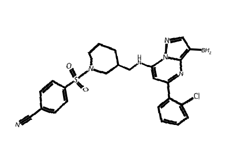 Bc1cnn2c(NCC3CCCN(S(=O)(=O)c4ccc(C#N)cc4)C3)cc(-c3ccccc3Cl)nc12